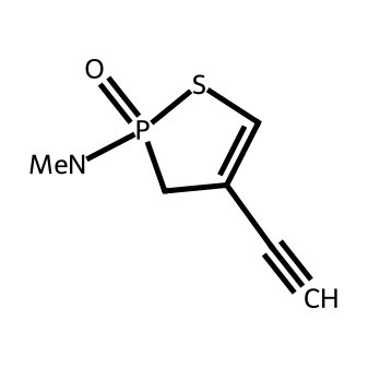 C#CC1=CSP(=O)(NC)C1